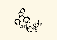 O=S(=O)(CC(F)(F)F)N1CCC[C@@H](Nc2nccc(-c3c(-c4cccc(O)c4)nc4sccn34)n2)C1